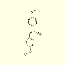 COc1ccc(C=C(C#N)c2ccc(OC)cc2)cc1